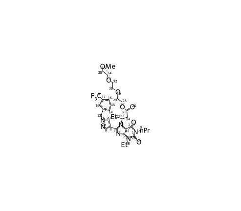 CCCn1c(=O)c2c(nc(-c3cnn(Cc4cccc(C(F)(F)F)c4)c3)n2C(CC)CC(=O)OCCOCCOCCOC)n(CC)c1=O